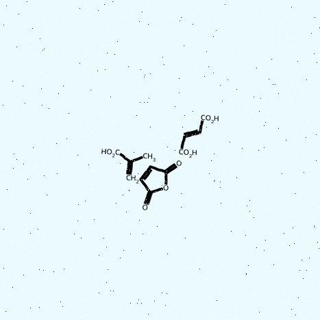 C=C(C)C(=O)O.O=C(O)C=CC(=O)O.O=C1C=CC(=O)O1